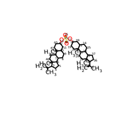 C=C(C)C1CCC2C3CCC4CC(OS(=O)(=O)OC5CCC6(C)C(CCC7C6CCC6(C)C(C(=C)C)CCC76)C5)CCC4(C)C3CCC12C